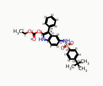 CCOC(=O)Oc1[nH]c2ccc(NS(=O)(=O)c3ccc(C(C)(C)C)cc3)cc2c1-c1ccccc1